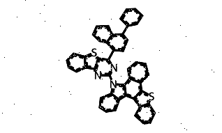 c1ccc(-c2ccc(-c3nc(-n4c5ccccc5c5c6c7ccccc7sc6c6ccccc6c54)nc4c3sc3ccccc34)c3ccccc23)cc1